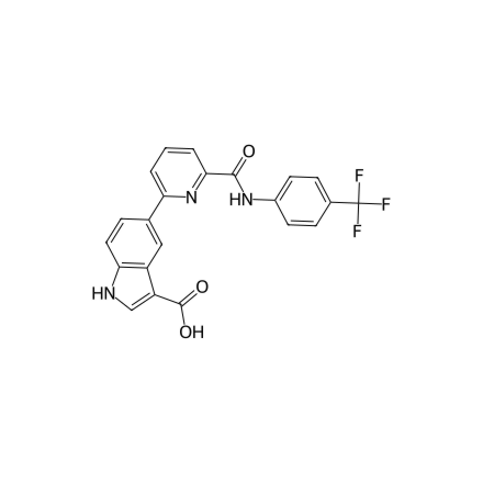 O=C(Nc1ccc(C(F)(F)F)cc1)c1cccc(-c2ccc3[nH]cc(C(=O)O)c3c2)n1